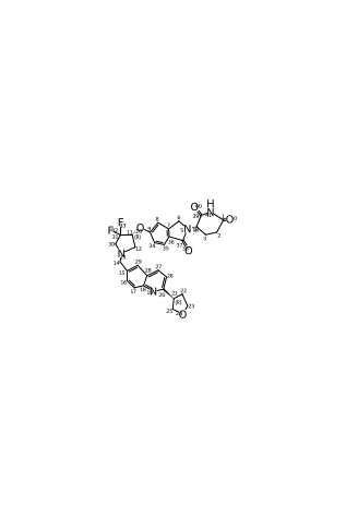 O=C1CC[C@H](N2Cc3cc(O[C@@H]4CN(Cc5ccc6nc([C@H]7CCOC7)ccc6c5)CC4(F)F)ccc3C2=O)C(=O)N1